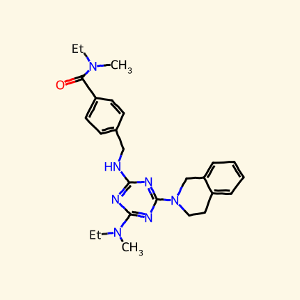 CCN(C)C(=O)c1ccc(CNc2nc(N(C)CC)nc(N3CCc4ccccc4C3)n2)cc1